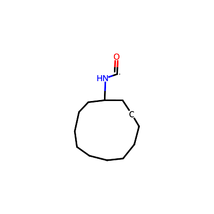 O=[C]NC1CCCCCCCCCCC1